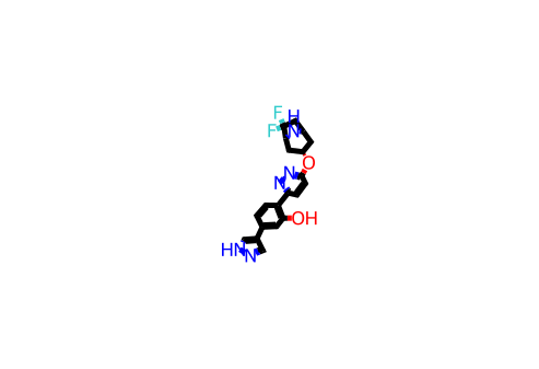 Oc1cc(-c2cn[nH]c2)ccc1-c1ccc(O[C@@H]2CC3CC(F)(F)C(C2)N3)nn1